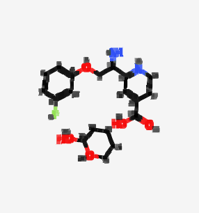 N=C(COc1cccc(F)c1)c1cc(C(=O)O)ccn1.OC1CCCCO1